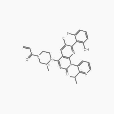 C=CC(=O)N1CCN(c2nc(=O)n(-c3cccnc3C(C)C)c3nc(-c4c(O)cccc4F)c(Cl)cc23)[C@@H](C)C1